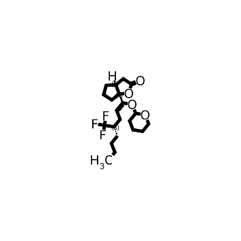 CCCC[C@@H](CC=C(OC1CCCCO1)[C@@]12CCC[C@H]1CC(=O)O2)C(F)(F)F